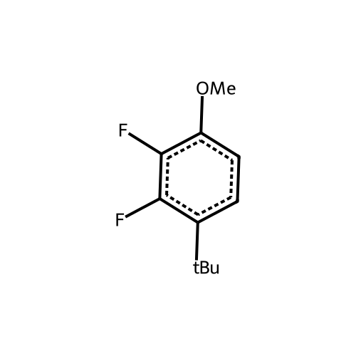 COc1ccc(C(C)(C)C)c(F)c1F